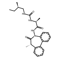 CC[C@@H](C)CNC(=O)N[C@@H](C)C(=O)NN1C(=O)[C@@H](C)c2ccccc2-c2ccccc21